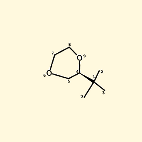 CC(C)(C)[C@H]1COCCO1